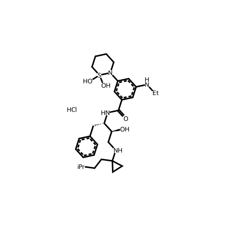 CCNc1cc(C(=O)N[C@@H](Cc2ccccc2)[C@@H](O)CNC2(CCC(C)C)CC2)cc(N2CCCCS2(O)O)c1.Cl